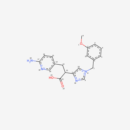 COc1cccc(Cn2cnc(C(Cc3ccc(N)nc3)C(=O)O)c2)c1